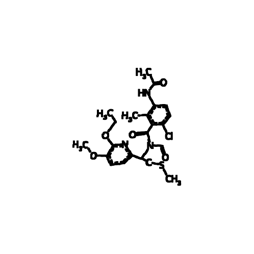 CCOc1nc(C(CSC)N(C=O)C(=O)c2c(Cl)ccc(NC(C)=O)c2C)ccc1OC